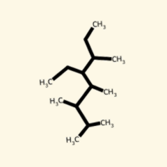 CC[C](C(C)CC)C(C)C(C)C(C)C